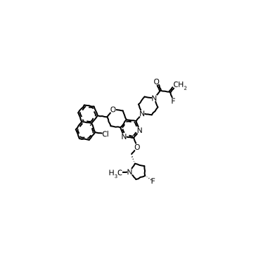 C=C(F)C(=O)N1CCN(c2nc(OC[C@@H]3C[C@H](F)CN3C)nc3c2COC(c2cccc4cccc(Cl)c24)C3)CC1